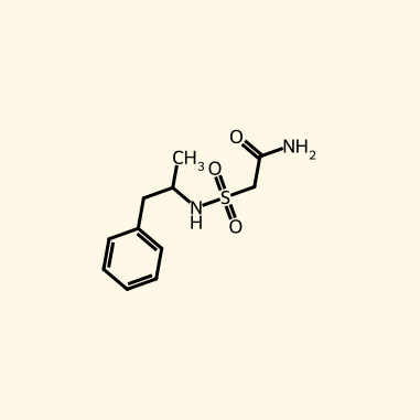 CC(Cc1ccccc1)NS(=O)(=O)CC(N)=O